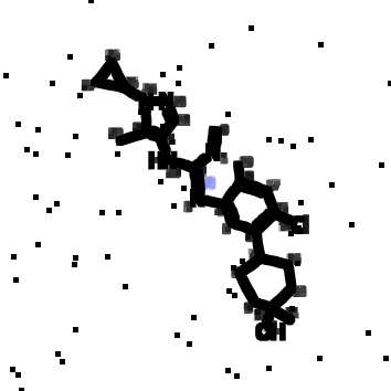 C=N/C(=N\c1cc(C2CCC(C)(O)CC2)c(Cl)cc1C)Nc1cnn(C2CC2)c1C